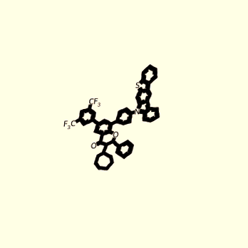 O=C1c2cc(-c3cc(C(F)(F)F)cc(C(F)(F)F)c3)cc(-c3ccc(-n4c5ccccc5c5cc6c(cc54)sc4ccccc46)cc3)c2OC(c2ccccc2)C1C1CCCCCC1